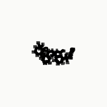 CCCC(C)(CC(ON1C(C)(C)CCCC1(C)C)c1ccncc1)c1cccc(C(C)(C)N=C=O)c1